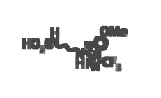 COc1ccc2c(c1)nc(NCCCCNC(=O)O)c1nnc(C(F)(F)F)n12